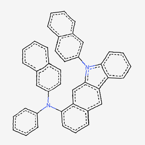 c1ccc(N(c2ccc3ccccc3c2)c2cccc3cc4c5ccccc5n(-c5ccc6ccccc6c5)c4cc23)cc1